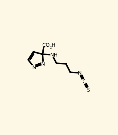 O=C(O)C1(NCCCN=C=S)C=CN=N1